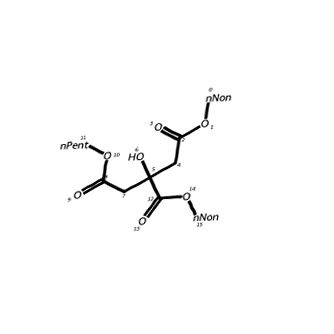 CCCCCCCCCOC(=O)CC(O)(CC(=O)OCCCCC)C(=O)OCCCCCCCCC